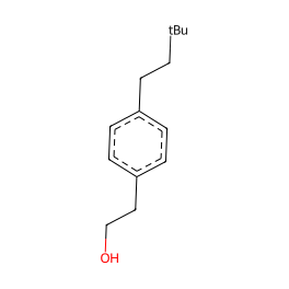 CC(C)(C)CCc1ccc(CCO)cc1